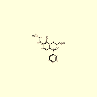 COCCc1c(C(=O)c2ccccc2)ccc(OCOC)c1Br